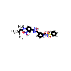 CC(C)CCN(C)c1ccc(-c2noc(-c3cccc(C(=O)NS(=O)(=O)c4ccccc4)c3)n2)cc1[N+](=O)[O-]